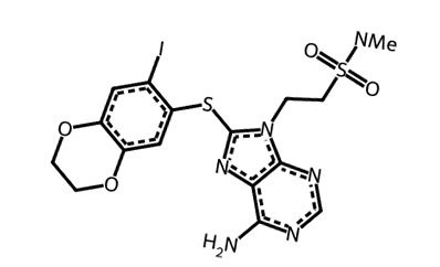 CNS(=O)(=O)CCn1c(Sc2cc3c(cc2I)OCCO3)nc2c(N)ncnc21